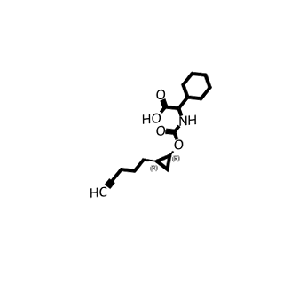 C#CCCC[C@@H]1C[C@H]1OC(=O)NC(C(=O)O)C1CCCCC1